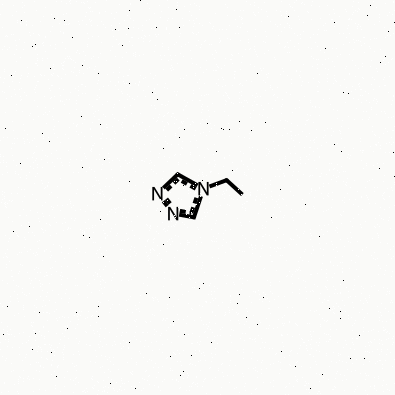 CCn1cnnc1